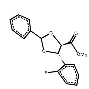 COC(=O)[C@@H]1OC(c2ccccc2)O[C@H]1c1ccccc1F